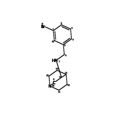 Brc1cccc(CNC2CN3CCC2CC3)c1